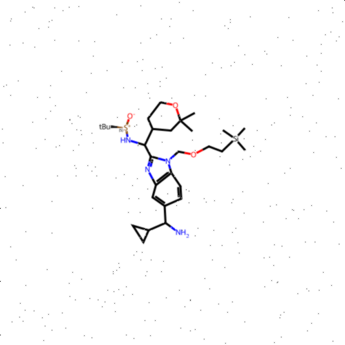 CC1(C)CC(C(N[S@+]([O-])C(C)(C)C)c2nc3cc(C(N)C4CC4)ccc3n2COCC[Si](C)(C)C)CCO1